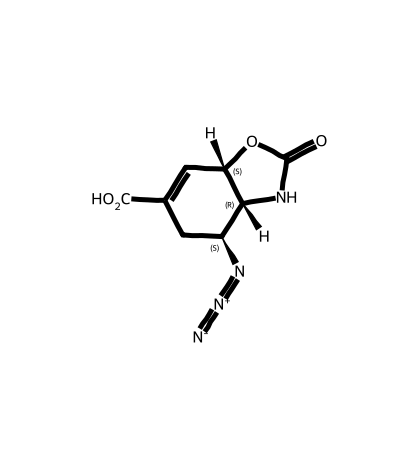 [N-]=[N+]=N[C@H]1CC(C(=O)O)=C[C@@H]2OC(=O)N[C@H]12